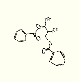 CCCC(OC(=O)c1ccccc1)C(CC)COC(=O)c1ccccc1